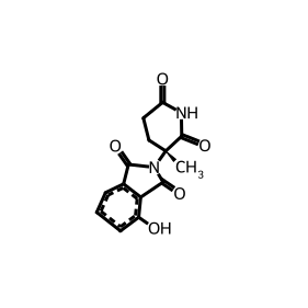 C[C@@]1(N2C(=O)c3cccc(O)c3C2=O)CCC(=O)NC1=O